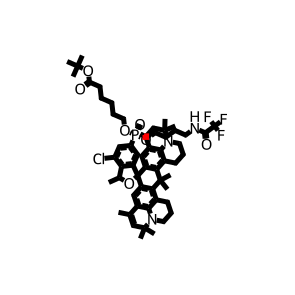 CC1=CC(C)(C)N2CCCc3c2c1cc1c3C(C)(C)c2c(cc3c4c2CCCN4C(C)(C)C=C3C)C12OC(C)c1c(Cl)cc(P(=O)(OCCCCCC(=O)OC(C)(C)C)OCCCCNC(=O)C(F)(F)F)cc12